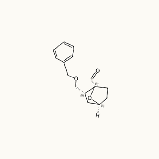 O=C[C@@]12CC[C@@H](C[C@@H]1COCc1ccccc1)O2